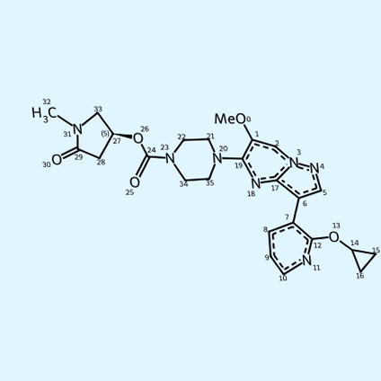 COc1cn2ncc(-c3cccnc3OC3CC3)c2nc1N1CCN(C(=O)O[C@H]2CC(=O)N(C)C2)CC1